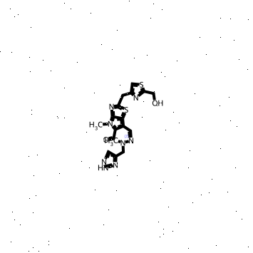 CN(Cc1cn[nH]n1)/N=C\c1c(C=O)n(C)c2nc(Cc3csc(CO)n3)sc12